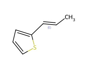 C/C=C/c1cccs1